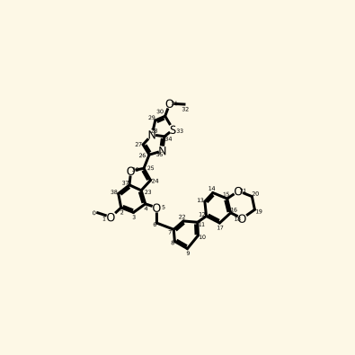 COc1cc(OCc2cccc(-c3ccc4c(c3)OCCO4)c2)c2cc(-c3cn4cc(OC)sc4n3)oc2c1